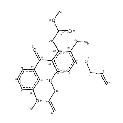 C=CCOc1cc(OCC=C)c(C(=O)c2cccc(OC)c2)c(CC(=O)OC)c1CC